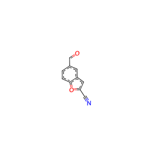 N#Cc1cc2cc(C=O)ccc2o1